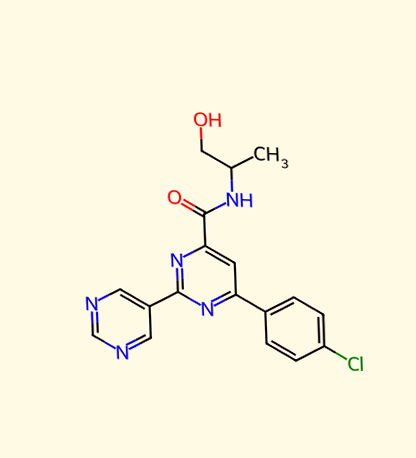 CC(CO)NC(=O)c1cc(-c2ccc(Cl)cc2)nc(-c2cncnc2)n1